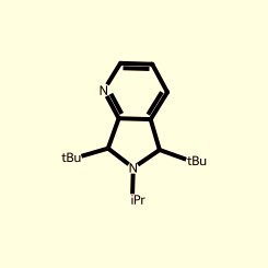 CC(C)N1C(C(C)(C)C)c2cccnc2C1C(C)(C)C